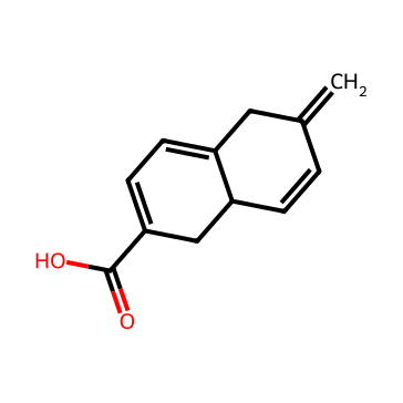 C=C1C=CC2CC(C(=O)O)=CC=C2C1